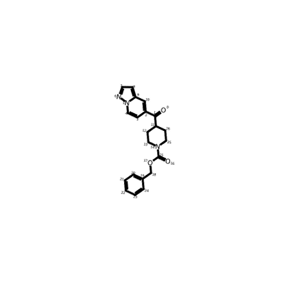 O=C(c1ccn2nccc2c1)C1CCN(C(=O)OCc2ccccc2)CC1